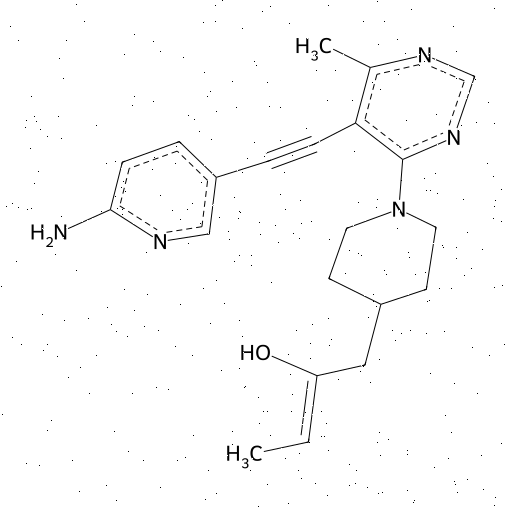 C/C=C(\O)CC1CCN(c2ncnc(C)c2C#Cc2ccc(N)nc2)CC1